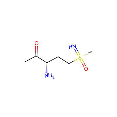 CC(=O)[C@@H](N)CC[S@@](C)(=N)=O